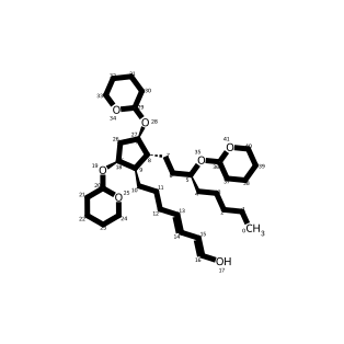 CCCCC[C@@H](CC[C@@H]1[C@@H](CCCC=CC=CO)[C@@H](OC2CCCCO2)C[C@H]1OC1CCCCO1)OC1CCCCO1